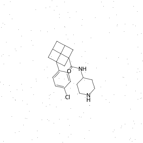 O=C(NC1CCNCC1)C12CC3CC4CC(c5ccc(Cl)cc5)(C1)C342